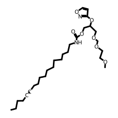 CCCCCCCCCCCCCCCCCNC(=O)OCC(COCOCCOC)Oc1ccon1